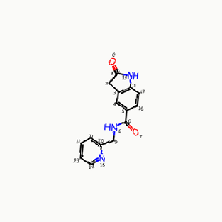 O=C1Cc2cc(C(=O)NCc3ccccn3)ccc2N1